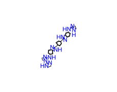 c1cc2nc(-c3ccc(-c4nc5ccc(NC6=NCCN6C6=NCCN6)cc5[nH]4)cc3)[nH]c2cc1NC1=NCCN1